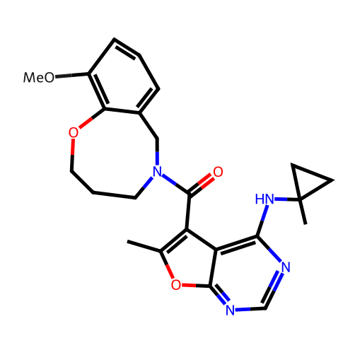 COc1cccc2c1OCCCN(C(=O)c1c(C)oc3ncnc(NC4(C)CC4)c13)C2